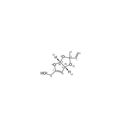 C=CC1(C)O[C@H]2OC(CO)=C[C@H]2O1